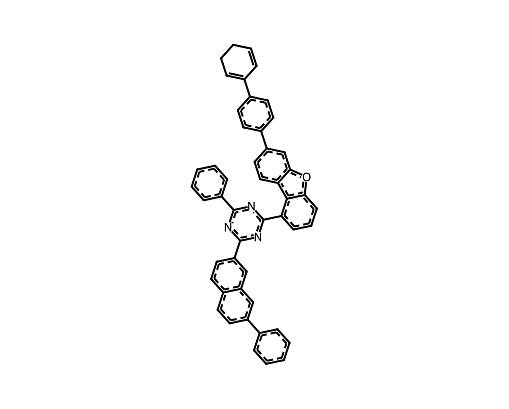 C1=CC(c2ccc(-c3ccc4c(c3)oc3cccc(-c5nc(-c6ccccc6)nc(-c6ccc7ccc(-c8ccccc8)cc7c6)n5)c34)cc2)=CCC1